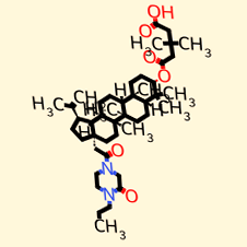 C=C(C)[C@@H]1CC[C@]2(CC(=O)N3CCN(CCC)C(=O)C3)CC[C@]3(C)[C@H](CC[C@@H]4[C@@]5(C)CC[C@H](OC(=O)CC(C)(C)CC(=O)O)C(C)(C)[C@@H]5CC[C@]43C)[C@@H]12